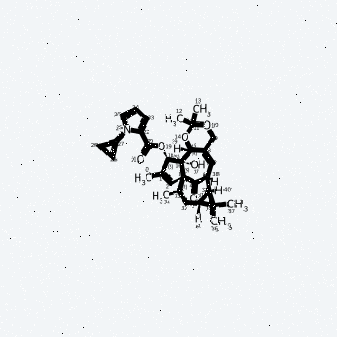 CC1=C[C@]23C(=O)[C@@H](C=C4COC(C)(C)O[C@H]4[C@]2(O)[C@H]1OC(=O)c1cccn1C1CC1)[C@H]1[C@@H](C[C@H]3C)C1(C)C